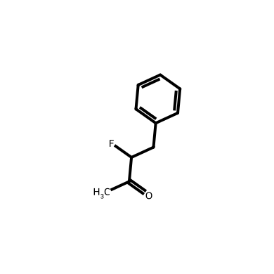 CC(=O)C(F)Cc1ccccc1